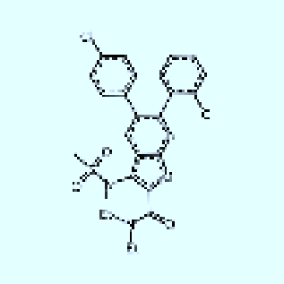 CCN(CC)C(=O)c1oc2nc(-c3ccccc3Cl)c(-c3ccc(Cl)cc3)cc2c1NS(C)(=O)=O